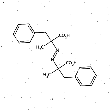 CC(Cc1ccccc1)(N=NC(C)(Cc1ccccc1)C(=O)O)C(=O)O